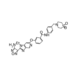 CCn1c(-c2nonc2N)nc2cnc(Oc3cccc(C(=O)Nc4ccc(CN5CCS(=O)(=O)CC5)cc4)c3)cc21